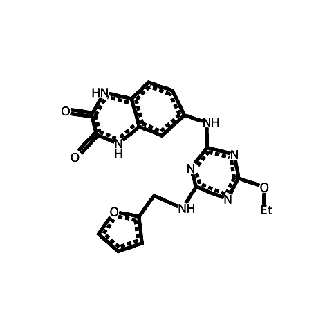 CCOc1nc(NCc2ccco2)nc(Nc2ccc3[nH]c(=O)c(=O)[nH]c3c2)n1